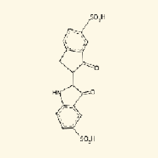 O=C1c2cc(S(=O)(=O)O)ccc2CC1C1Nc2ccc(S(=O)(=O)O)cc2C1=O